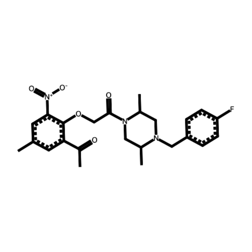 CC(=O)c1cc(C)cc([N+](=O)[O-])c1OCC(=O)N1CC(C)N(Cc2ccc(F)cc2)CC1C